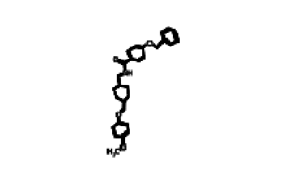 COc1ccc(OCC2CCC(CNC(=O)c3ccc(OCc4ccccc4)cc3)CC2)cc1